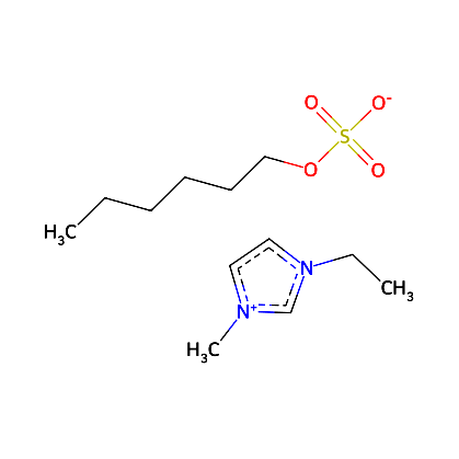 CCCCCCOS(=O)(=O)[O-].CCn1cc[n+](C)c1